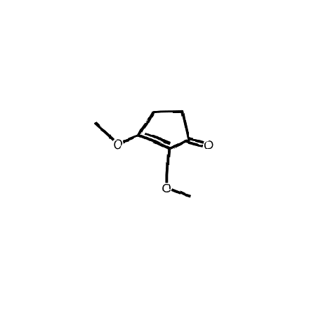 COC1=C(OC)C(=O)CC1